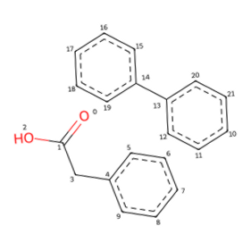 O=C(O)Cc1ccccc1.c1ccc(-c2ccccc2)cc1